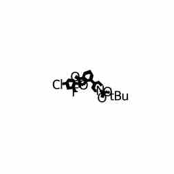 CC(C)(C)OC(=O)N1CC=C(c2cccc3c2OC(C)(c2ccc(Cl)cc2F)C3=O)CC1